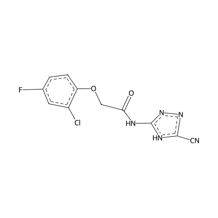 N#Cc1nnc(NC(=O)COc2ccc(F)cc2Cl)[nH]1